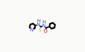 O=C(NC(=S)Nc1cccnc1)c1ccccc1